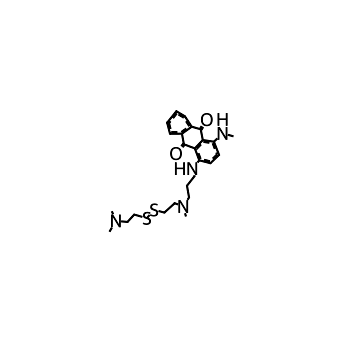 CNc1ccc(NCCCN(C)CCSSCCN(C)C)c2c1C(=O)c1ccccc1C2=O